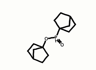 O=[PH](OC12CCC(CC1)C2)C12CCC(CC1)C2